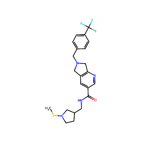 CSN1CCC(CNC(=O)c2cnc3c(c2)CN(Cc2ccc(C(F)(F)F)cc2)C3)C1